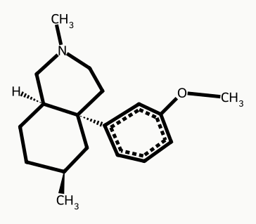 COc1cccc([C@@]23CCN(C)C[C@@H]2CC[C@H](C)C3)c1